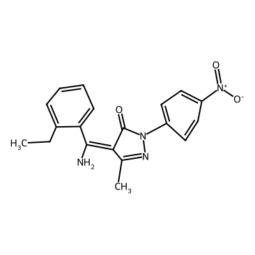 CCc1ccccc1/C(N)=C1\C(=O)N(c2ccc([N+](=O)[O-])cc2)N=C1C